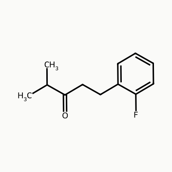 CC(C)C(=O)CCc1ccccc1F